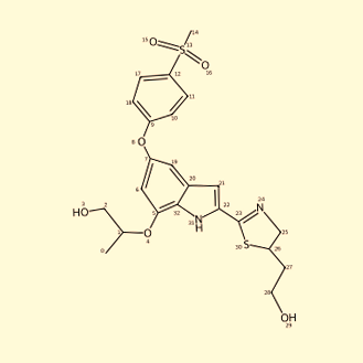 CC(CO)Oc1cc(Oc2ccc(S(C)(=O)=O)cc2)cc2cc(C3=NCC(CCO)S3)[nH]c12